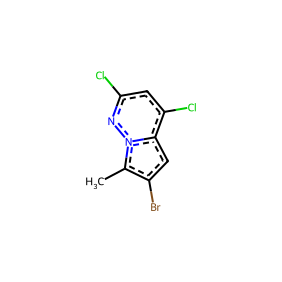 Cc1c(Br)cc2c(Cl)cc(Cl)nn12